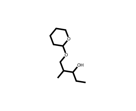 CCC(O)C(C)COC1CCCCO1